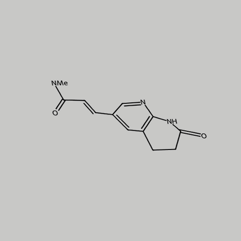 CNC(=O)C=Cc1cnc2c(c1)CCC(=O)N2